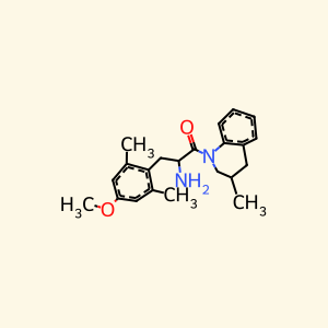 COc1cc(C)c(CC(N)C(=O)N2CC(C)Cc3ccccc32)c(C)c1